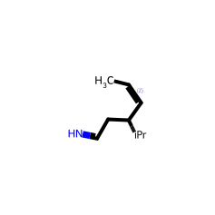 C/C=C\C(CC=N)C(C)C